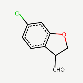 O=CC1COc2cc(Cl)ccc21